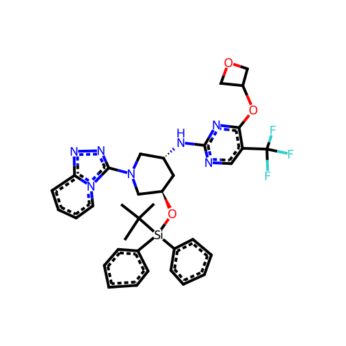 CC(C)(C)[Si](O[C@@H]1C[C@@H](Nc2ncc(C(F)(F)F)c(OC3COC3)n2)CN(c2nnc3ccccn23)C1)(c1ccccc1)c1ccccc1